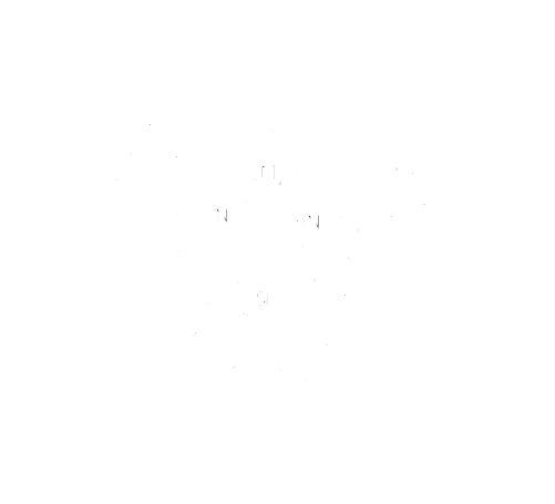 Cc1cc2c(Cl)c(c1)N(c1ccc(C(C)(C)C)cc1)c1cccc(c1)[Si](c1ccccc1)(c1ccccc1)c1cccc(c1)N2c1ccc(C(C)(C)C)cc1